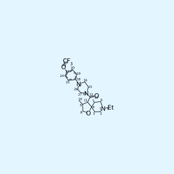 CCN1CCC2(CC1)OCC(C)C2C(=O)N1CCN(c2ccc(OC(F)(F)F)cc2)CC1